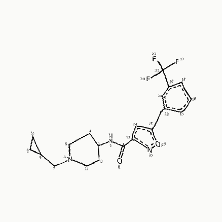 O=C(NC1CCN(CC2CC2)CC1)c1cc(-c2cccc(C(F)(F)F)c2)on1